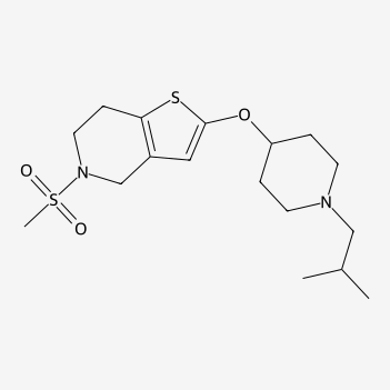 CC(C)CN1CCC(Oc2cc3c(s2)CCN(S(C)(=O)=O)C3)CC1